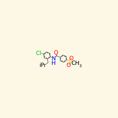 CC(C)Cc1cc(Cl)ccc1NC(=O)c1ccc(S(C)(=O)=O)cc1